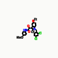 CCOc1ccc2c(c1)c(C(=O)C(=O)Nc1ccc(OC)cc1)c(C(F)(F)F)n2Cc1ccc(Cl)cc1Cl